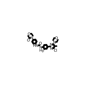 Cc1c(Cl)nc(-c2ccc(NC(=O)Nc3ccc(N4CCOCC4=O)cc3)c(F)c2)nc1N1CCOCC1